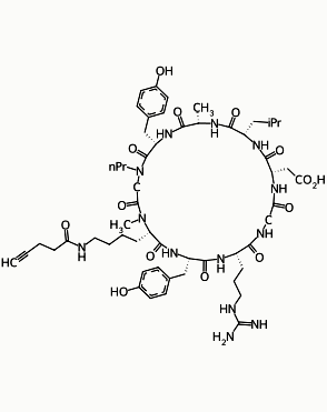 C#CCCC(=O)NCCCC[C@H]1C(=O)N[C@@H](Cc2ccc(O)cc2)C(=O)N[C@@H](CCCNC(=N)N)C(=O)NCC(=O)N[C@@H](CC(=O)O)C(=O)N[C@@H](CC(C)C)C(=O)N[C@@H](C)C(=O)N[C@@H](Cc2ccc(O)cc2)C(=O)N(CCC)CC(=O)N1C